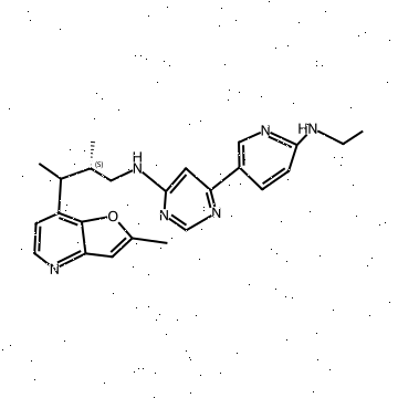 CCNc1ccc(-c2cc(NC[C@@H](C)C(C)c3ccnc4cc(C)oc34)ncn2)cn1